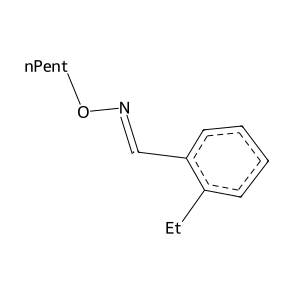 CCCCCO/N=[C]/c1ccccc1CC